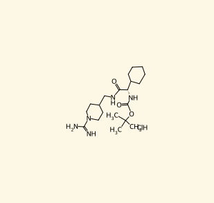 CC(C)(C)OC(=O)N[C@H](C(=O)NCC1CCN(C(=N)N)CC1)C1CCCCC1.Cl